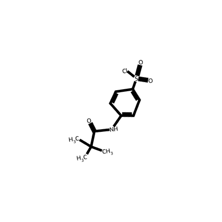 CC(C)(C)C(=O)Nc1ccc(S(=O)(=O)Cl)cc1